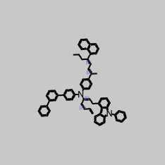 C=C/C=C\C(=C/Cc1cccc2c1c1ccccc1n2-c1ccccc1)N(c1ccc(/C(C)=C/C=C(\CCC)c2cccc3ccccc23)cc1)c1ccc(-c2cccc(-c3ccccc3)c2)cc1